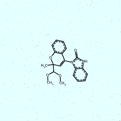 COC(OC)C1(C)C=C(n2c(=O)[nH]c3ccccc32)c2ccccc2O1